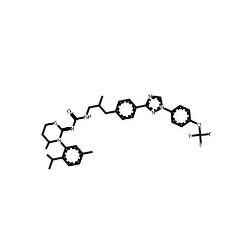 Cc1ccc(C(C)C)c(N2/C(=N/C(=O)NCC(C)Cc3ccc(-c4ncn(-c5ccc(OC(F)(F)F)cc5)n4)cc3)SCCC2C)c1